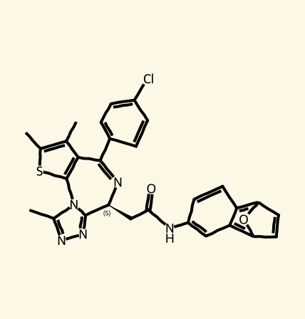 Cc1sc2c(c1C)C(c1ccc(Cl)cc1)=N[C@@H](CC(=O)Nc1ccc3c4ccc(o4)c3c1)c1nnc(C)n1-2